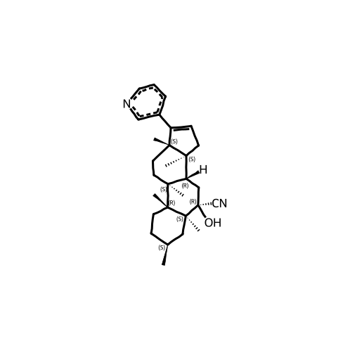 C[C@H]1CC[C@@]2(C)[C@](C)(C1)[C@@](O)(C#N)C[C@@H]1[C@]2(C)CC[C@]2(C)C(c3cccnc3)=CC[C@@]12C